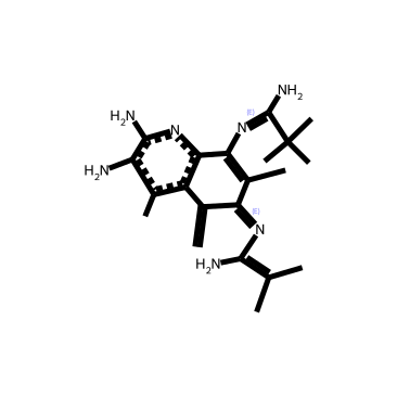 C=C1/C(=N\C(N)=C(C)C)C(C)=C(/N=C(/N)C(C)(C)C)c2nc(N)c(N)c(C)c21